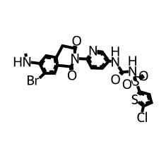 CNc1cc2c(cc1Br)C(=O)N(c1ccc(NC(=O)NS(=O)(=O)c3ccc(Cl)s3)cn1)C(=O)C2